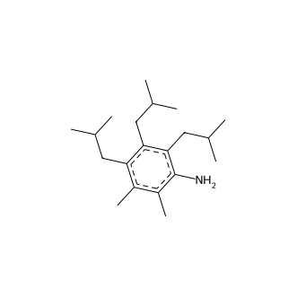 Cc1c(C)c(CC(C)C)c(CC(C)C)c(CC(C)C)c1N